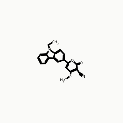 CCn1c2ccccc2c2cc(-c3cc(SC)c(C#N)c(=O)o3)ccc21